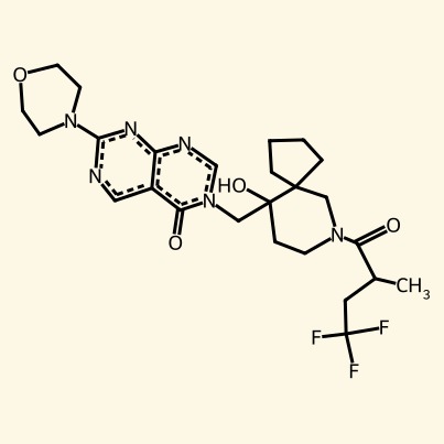 CC(CC(F)(F)F)C(=O)N1CCC(O)(Cn2cnc3nc(N4CCOCC4)ncc3c2=O)C2(CCCC2)C1